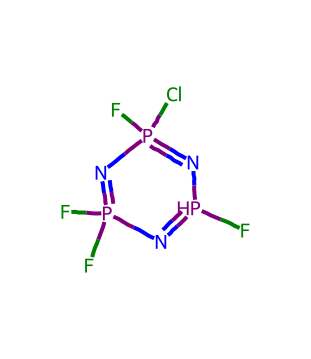 F[PH]1=NP(F)(F)=NP(F)(Cl)=N1